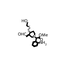 COC(=O)C(c1ccccc1N)N1CCC(SSCCO)/C(=C\C=O)C1